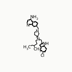 CCC(C)CCN(Cc1cc2cc(Cl)ccc2[nH]1)[C@@H]1CCN(Cc2ccc3c(N)ccnc3c2)C1